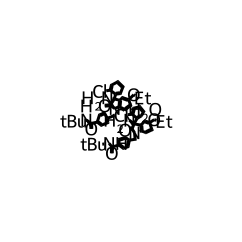 CCOc1ccc2c(c1)C(N)(c1ccccc1Cl)C(=O)N2Cc1ccc(C(=O)NC(C)(C)C)cc1.CCOc1ccc2c(c1)C(N)(c1ccccc1Cl)C(=O)N2Cc1ccc(C(=O)NC(C)(C)C)cc1.O